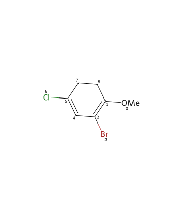 COC1=C(Br)C=C(Cl)CC1